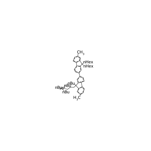 CCCCCCC1(CCCCCC)c2cc(C)ccc2-c2ccc(-c3ccc4c(c3)C(CCCC)(CCC[PH](CCCC)(CCCC)CCCC)c3cc(C)ccc3-4)cc21